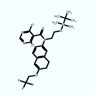 CC(C)(C)[Si](C)(C)OCCN(C(=O)c1c(Cl)ncnc1Cl)c1ccc2c(c1)CCC(OCC(F)(F)F)=C2